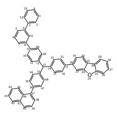 c1ccc(-c2cccc(-c3ccc(C(c4ccc(-c5ccc6c(c5)oc5ccccc56)cc4)c4ccc(-c5cccc6ccccc56)cc4)cc3)c2)cc1